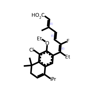 CCOc1c(\C(CC)=C(F)/C=C/C(C)=C/C(=O)O)cc2c(c1Cl)C(C)(C)CC=C2C(C)C